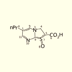 CCCC1=CN2CC(C(=O)O)=S(=O)=C2N=C1